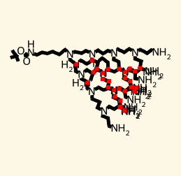 CC(C)(C)OC(=O)NCCCCCCN(CCCN(CCCN(CCCN(CCCN)CCCN)CCCN(CCCN)CCCN)CCCN(CCCN(CCCN)CCCN)CCCN(CCCN)CCCN)CCCN(CCCN(CCCN(CCCN)CCCN)CCCN(CCCN)CCCN)CCCN(CCCN(CCCN)CCCN)CCCN(CCCN)CCCN